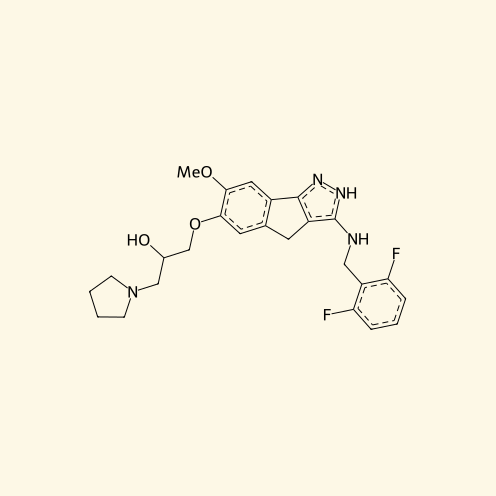 COc1cc2c(cc1OCC(O)CN1CCCC1)Cc1c-2n[nH]c1NCc1c(F)cccc1F